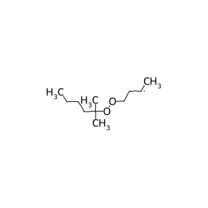 C[CH]CCOOC(C)(C)CCCC